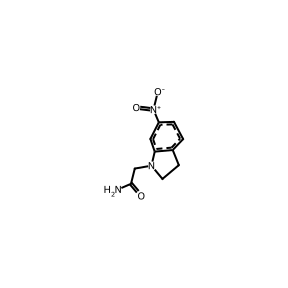 NC(=O)CN1CCc2ccc([N+](=O)[O-])cc21